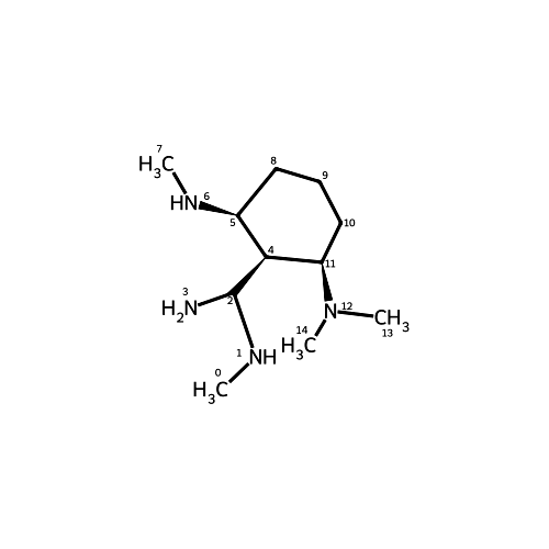 CNC(N)[C@H]1[C@@H](NC)CCC[C@H]1N(C)C